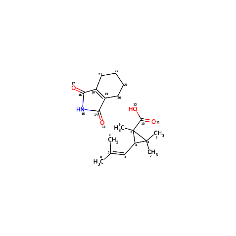 CC(C)=CC1C(C)(C)C1(C)C(=O)O.O=C1NC(=O)C2=C1CCCC2